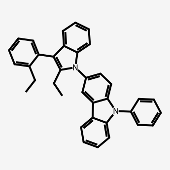 CCc1ccccc1-c1c(CC)n(-c2ccc3c(c2)c2ccccc2n3-c2ccccc2)c2ccccc12